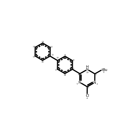 CC(C)(C)C1N=C(Cl)N=C(c2ccc(-c3ccccc3)cc2)N1